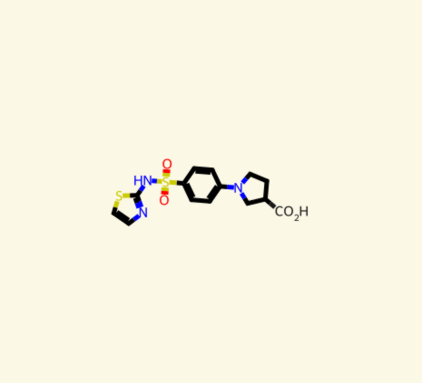 O=C(O)C1CCN(c2ccc(S(=O)(=O)Nc3nccs3)cc2)C1